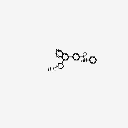 CN1CCC(c2cc(-c3ccc(C(=O)Nc4ccccc4)cc3)cc3cncnc23)C1